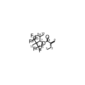 C=C(CC)C(=O)OC(C(C)C)C(C)(C(F)(F)F)C(F)(F)F